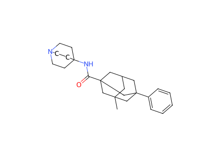 CC12CC3CC(C(=O)NC45CCN(CC4)CC5)(C1)CC(c1ccccc1)(C3)C2